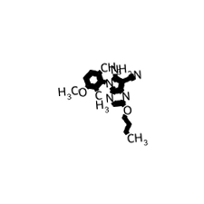 CCCCOc1cnc2c(n1)c(C#N)c(N)n2-c1c(C)ccc(OC)c1C